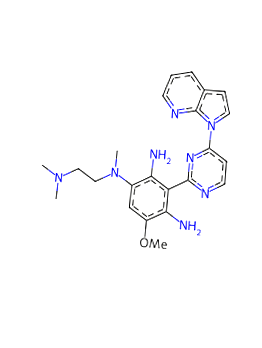 COc1cc(N(C)CCN(C)C)c(N)c(-c2nccc(-n3ccc4cccnc43)n2)c1N